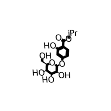 CC(C)OC(=O)c1ccc(O[C@@H]2O[C@H](CO)[C@@H](O)[C@H](O)[C@H]2O)cc1O